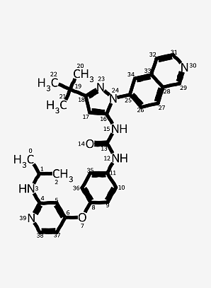 CC(C)Nc1cc(Oc2ccc(NC(=O)Nc3cc(C(C)(C)C)nn3-c3ccc4cnccc4c3)cc2)ccn1